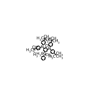 CC(C)(C)c1ccc(N(c2ccc(C(C)(C)C)cc2)c2cc([Si](C)(C)c3ccccc3)cc(N(c3ccc(C(C)(C)C)cc3)c3ccc(C(C)(C)C)cc3)c2Cl)cc1